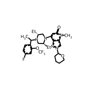 CC[C@H]1CN(C(C)c2ccc(F)cc2OC(F)(F)F)[C@H](CC)CN1c1cc(=O)n(C)c2cn(C3CCCCO3)nc12